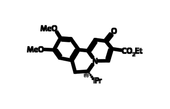 CCOC(=O)c1cn2c(cc1=O)-c1cc(OC)c(OC)cc1C[C@H]2C(C)C